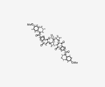 COc1ccc2c(c1)CCCN2C(=O)c1nc2c(s1)C(=O)C=C(N1CCC1N(C)C1CCN1C1=CC(=O)c3sc(C(=O)N4CCCc5cc(OC)ccc54)nc3C1=O)C2=O